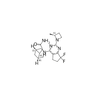 C[C@H]1CCN1c1nc(N2C[C@H]3C[C@@H](C2)[C@@H]3CC(N)=O)c2c(n1)C(F)(F)CC2